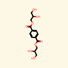 O=C(OCC(O)CO)c1ccc(C(=O)OCC(O)CO)cc1